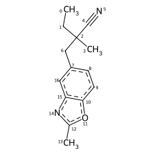 CCC(C)(C#N)Cc1ccc2oc(C)nc2c1